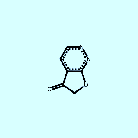 O=C1COc2nnccc21